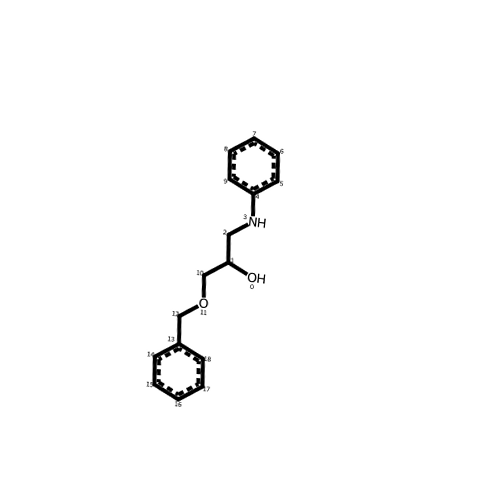 OC(CNc1ccccc1)COCc1ccccc1